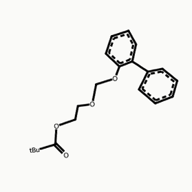 CC(C)(C)C(=O)OCCOCOc1ccccc1-c1ccccc1